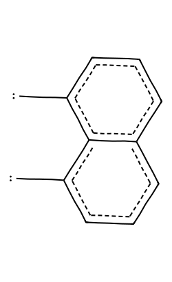 [CH]c1cccc2cccc([CH])c12